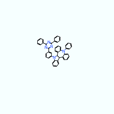 c1ccc(-c2nc(-c3ccccc3)nc(-c3cccc(N4c5ccccc5C5c6ccccc6N(c6ccccc6)c6ccccc6C54)c3)n2)cc1